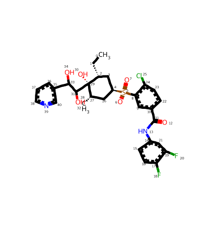 CC[C@@H]1C[C@@H](S(=O)(=O)c2cc(C(=O)Nc3ccc(F)c(F)c3)ccc2Cl)C[C@H](C)[C@@]1(O)C(O)C(O)c1cccnc1